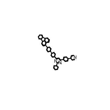 c1ccc(-c2nc(-c3ccc(-c4ccncc4)cc3)cc(-c3ccc(-c4ccc(-c5ccc6c7c(cccc57)-c5ccccc5-6)cc4)cc3)n2)cc1